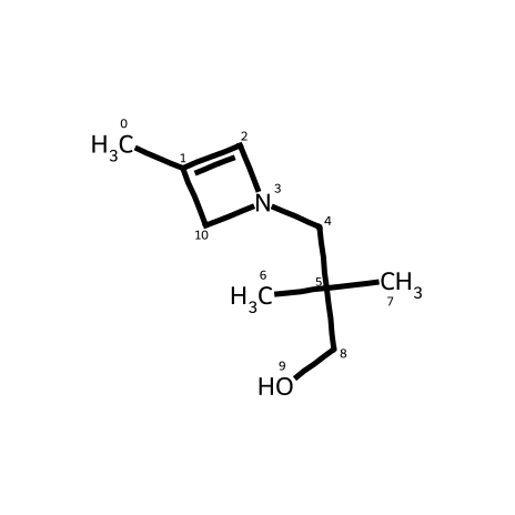 CC1=CN(CC(C)(C)CO)C1